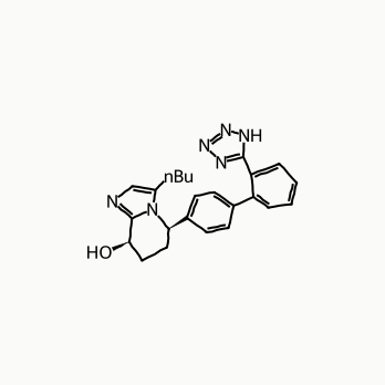 CCCCc1cnc2n1[C@@H](c1ccc(-c3ccccc3-c3nnn[nH]3)cc1)CC[C@H]2O